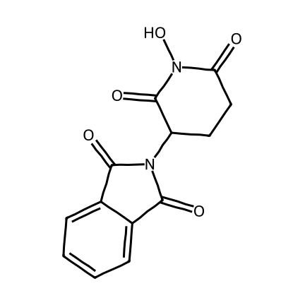 O=C1CCC(N2C(=O)c3ccccc3C2=O)C(=O)N1O